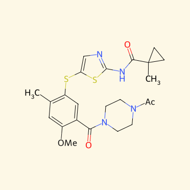 COc1cc(C)c(Sc2cnc(NC(=O)C3(C)CC3)s2)cc1C(=O)N1CCN(C(C)=O)CC1